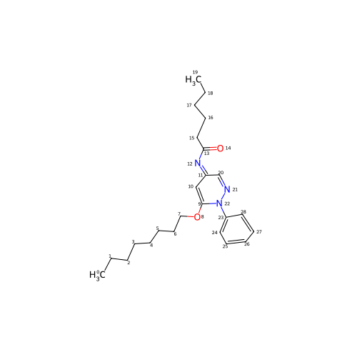 CCCCCCCCOc1cc(=NC(=O)CCCCC)cnn1-c1ccccc1